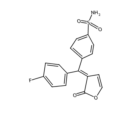 NS(=O)(=O)c1ccc(C(=C2C=COC2=O)c2ccc(F)cc2)cc1